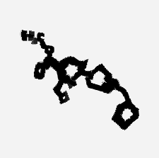 CCOC(=O)c1cnc(N2CCN(Cc3ccccc3)CC2)nc1CCl